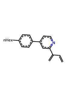 C=CC(=C)c1cc(-c2ccc(CCCCCC)cc2)ccn1